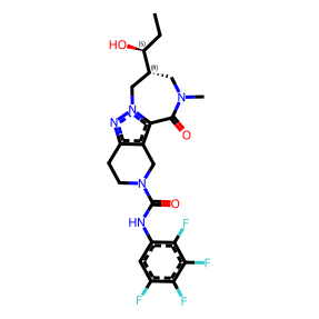 CC[C@H](O)[C@@H]1CN(C)C(=O)c2c3c(nn2C1)CCN(C(=O)Nc1cc(F)c(F)c(F)c1F)C3